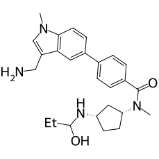 CCC(O)N[C@H]1CC[C@@H](N(C)C(=O)c2ccc(-c3ccc4c(c3)c(CN)cn4C)cc2)C1